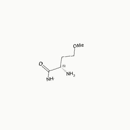 COCC[C@H](N)C([NH])=O